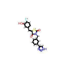 O=C1S/C(=C\c2ccc(F)c(O)c2)C(=O)N1Cc1cccc(-c2c[nH]nn2)c1